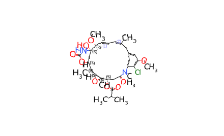 COc1cc2cc(c1Cl)N(C)C(=O)C[C@H](OC(=O)C(C)C)[C@@]1(C)O[C@H]1[C@H](C)[C@@H]1C[C@@](O)(NC(=O)O1)[C@H](OC)/C=C/C=C(/C)C2